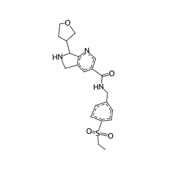 CCS(=O)(=O)c1ccc(CNC(=O)c2cnc3c(c2)CNC3C2CCOC2)cc1